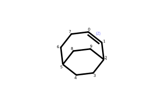 C1=C\[C]2CCC(CC/1)CC2